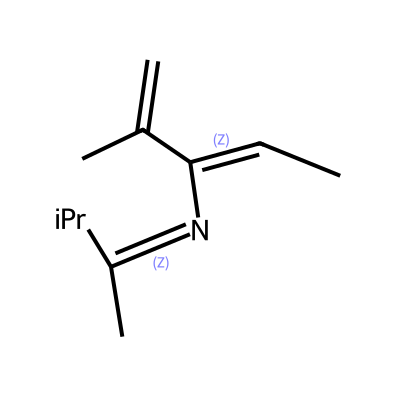 C=C(C)C(=C/C)/N=C(/C)C(C)C